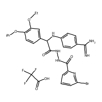 CCOc1cc(C(Nc2ccc(C(=N)N)cc2)C(=O)NNC(=O)c2cccc(Br)n2)ccc1OC(C)C.O=C(O)C(F)(F)F